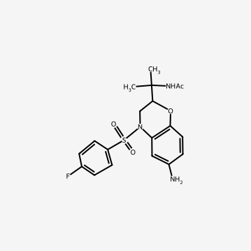 CC(=O)NC(C)(C)C1CN(S(=O)(=O)c2ccc(F)cc2)c2cc(N)ccc2O1